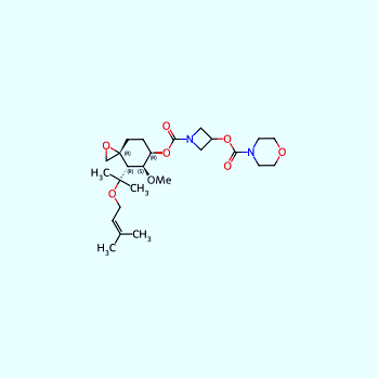 CO[C@H]1[C@H](C(C)(C)OCC=C(C)C)[C@]2(CC[C@H]1OC(=O)N1CC(OC(=O)N3CCOCC3)C1)CO2